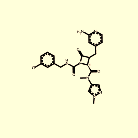 CN(C(=O)[C@@H]1C(Cc2ccnc(N)c2)C(=O)N1C(=O)NCc1cccc(Cl)c1)c1cnn(C)c1